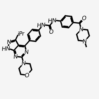 CC(C)c1n[nH]c2nc(N3CCOCC3)nc(-c3ccc(NC(=O)Nc4ccc(C(=O)N5CCN(C)CC5)cc4)cc3)c12